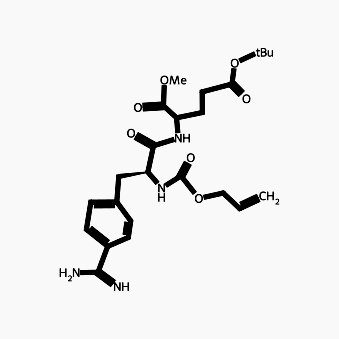 C=CCOC(=O)N[C@@H](Cc1ccc(C(=N)N)cc1)C(=O)NC(CCC(=O)OC(C)(C)C)C(=O)OC